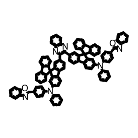 c1ccc(N(c2ccc(-c3nc4ccccc4o3)cc2)c2ccc3c(c2)C2(c4ccccc4-c4ccccc42)c2cc(-c4nc5ccccc5nc4-c4ccc5c(c4)C4(c6ccccc6-c6ccccc64)c4cc(N(c6ccccc6)c6ccc(-c7nc8ccccc8o7)cc6)ccc4-5)ccc2-3)cc1